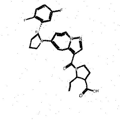 CCC1C(C(=O)O)CCN1C(=O)c1cnn2ccc(N3CCC[C@@H]3c3cc(F)ccc3F)cc12